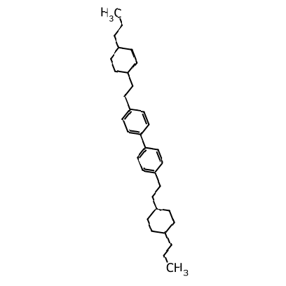 CCCC1CCC(CCc2ccc(-c3ccc(CCC4CCC(CCC)CC4)cc3)cc2)CC1